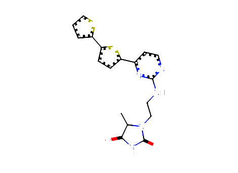 CC1C(=O)NC(=O)N1CCNc1nccc(-c2ccc(-c3cccs3)s2)n1